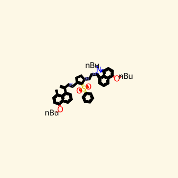 C=C(/C=C/C1=C(S(=O)(=O)c2ccccc2)C(=C/C=c2\c3cccc4c(OCCCC)ccc(c43)n2CCCC)/CC1)c1cccc2c(OCCCC)ccc(C)c12